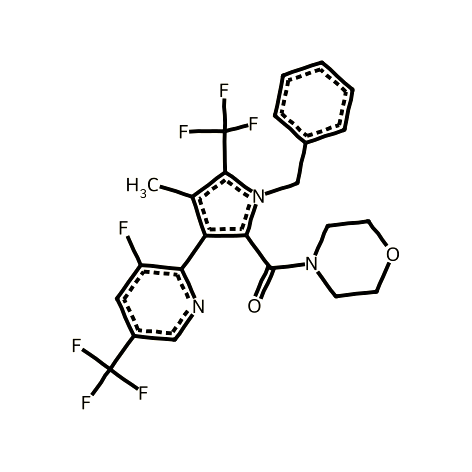 Cc1c(-c2ncc(C(F)(F)F)cc2F)c(C(=O)N2CCOCC2)n(Cc2ccccc2)c1C(F)(F)F